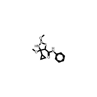 CON1NC(OC)(C2CC2)C(C(=O)Nc2ccccc2)S1